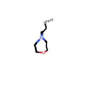 CC[CH]CCCCN1CCOCC1